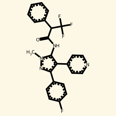 Cn1nc(-c2ccc(F)cc2)c(-c2ccncc2)c1NC(=O)C(c1ccccc1)C(F)(F)F